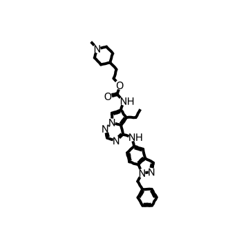 CCc1c(NC(=O)OCCC2CCN(C)CC2)cn2ncnc(Nc3ccc4c(cnn4Cc4ccccc4)c3)c12